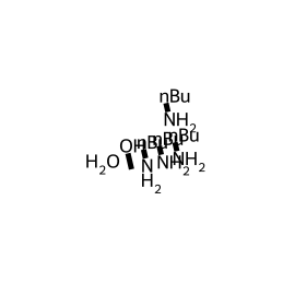 CCCCN.CCCCN.CCCCN.CCCCN.CO.O